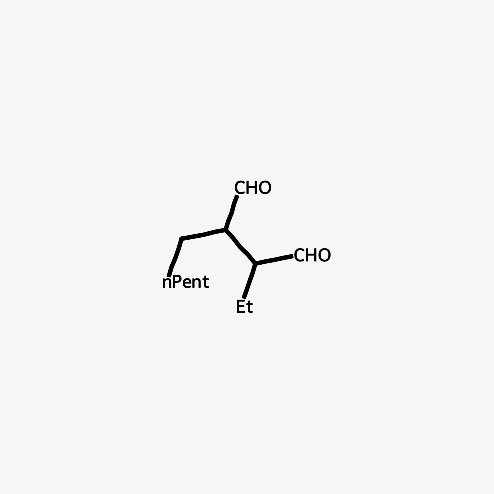 CCCCCCC(C=O)C(C=O)CC